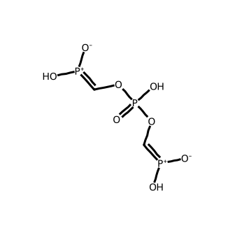 O=P(O)(O/C=[P+](\[O-])O)O/C=[P+](\[O-])O